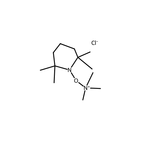 CC1(C)CCCC(C)(C)N1O[N+](C)(C)C.[Cl-]